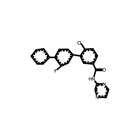 O=C(Nc1cnccn1)c1ccc(Cl)c(-c2ccc(-c3ccccc3)c(F)c2)c1